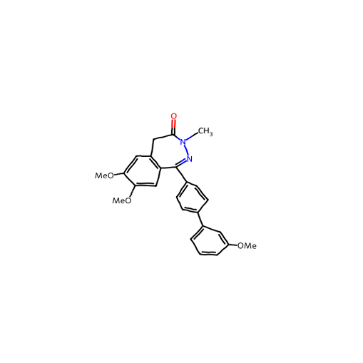 COc1cccc(-c2ccc(C3=NN(C)C(=O)Cc4cc(OC)c(OC)cc43)cc2)c1